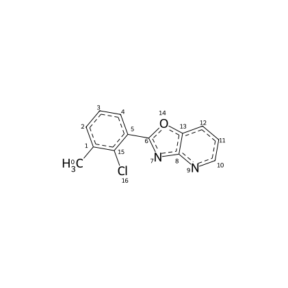 Cc1cccc(-c2nc3ncccc3o2)c1Cl